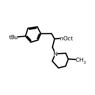 CCCCCCCCC(Cc1ccc(C(C)(C)C)cc1)CN1CCCC(C)C1